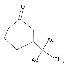 CC(=O)C(C)(C(C)=O)C1CCCC(=O)C1